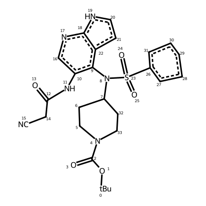 CC(C)(C)OC(=O)N1CCC(N(c2c(NC(=O)CC#N)cnc3[nH]ccc23)S(=O)(=O)c2ccccc2)CC1